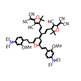 CCN(CC)c1ccc(/C=C/C2=CC(=C(/C=C/C3=C(C#N)C(=C(C#N)C#N)OC3(C)C)/C=C/C3=C(C#N)C(=C(C#N)C#N)OC3(C)C)C=C(CCc3ccc(N(CC)CC)cc3OC)O2)c(OC)c1